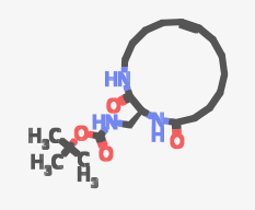 CC(C)(C)OC(=O)NC[C@@H]1NC(=O)CCCCCC/C=C\CCCCNC1=O